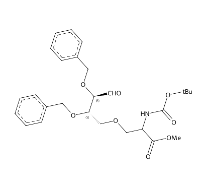 COC(=O)C(COC[C@H](OCc1ccccc1)[C@H](C=O)OCc1ccccc1)NC(=O)OC(C)(C)C